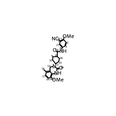 COc1ccc(NC(=O)C2CCC(N3Cc4c(C)ccc(OC)c4NC3=O)CC2)cc1C#N